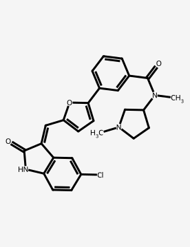 CN1CCC(N(C)C(=O)c2cccc(-c3ccc(/C=C4/C(=O)Nc5ccc(Cl)cc54)o3)c2)C1